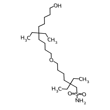 CCC(CC)(CCCCCO)CCCCOCCCCC(CC)(CC)CS(N)(=O)=O